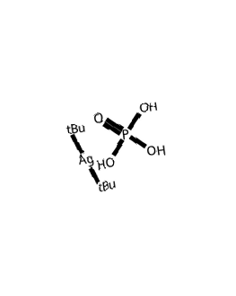 C[C](C)(C)[Ag][C](C)(C)C.O=P(O)(O)O